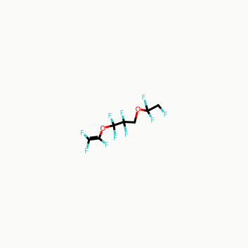 FCC(F)(F)OCC(F)(F)C(F)(F)OC(F)=C(F)F